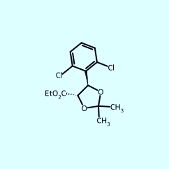 CCOC(=O)[C@H]1OC(C)(C)O[C@@H]1c1c(Cl)cccc1Cl